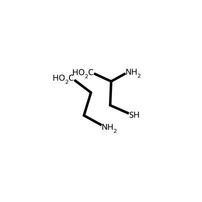 NC(CS)C(=O)O.NCCC(=O)O